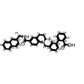 C[C@H](NC(=O)c1ccc2c(c1)CCCN2Cc1cccc(-c2ccccc2C(=O)O)c1F)c1ccc2ccccc2c1